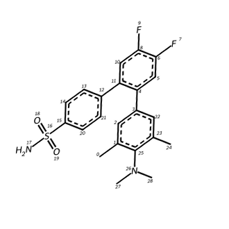 Cc1cc(-c2cc(F)c(F)cc2-c2ccc(S(N)(=O)=O)cc2)cc(C)c1N(C)C